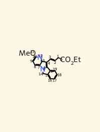 CCOC(=O)CC=Cc1c2n(c3ccc(OC)nc13)Cc1ccccc1-2